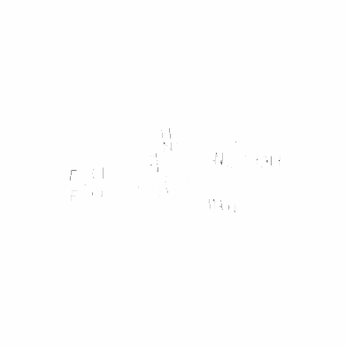 Nc1cc(N2CC[C@H](O)C2)c(-c2ccn[nH]2)cc1C(=O)Nc1ccc(OC(F)(F)Cl)cc1